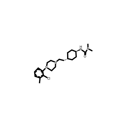 Cc1cccc(N2CCN(CC[C@H]3CC[C@H](NC(=O)N(C)C)CC3)CC2)c1Cl